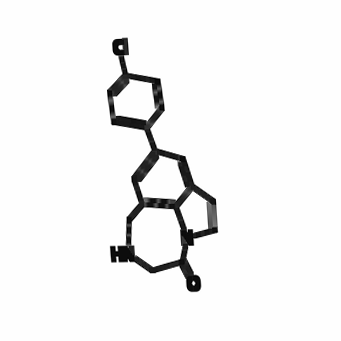 O=C1CNCc2cc(-c3ccc(Cl)cc3)cc3ccn1c23